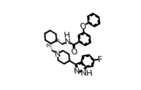 O=C(NC[C@@H]1CCCC[C@H]1CN1CCC(c2n[nH]c3cc(F)ccc23)CC1)c1cccc(Oc2ccccc2)c1